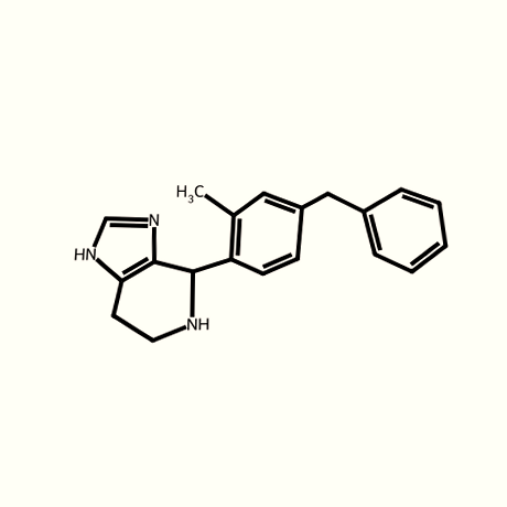 Cc1cc(Cc2ccccc2)ccc1C1NCCc2[nH]cnc21